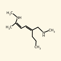 CCC/C(=C\C=C(\C)NC)CNC